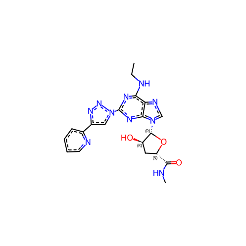 CCNc1nc(-n2cc(-c3ccccn3)nn2)nc2c1ncn2[C@@H]1O[C@H](C(=O)NC)C[C@H]1O